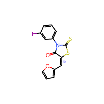 O=C1/C(=C\c2ccco2)SC(=S)N1c1cccc(I)c1